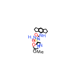 CO[C@H]1COc2c(S(N)(=O)=NC(=O)Nc3c4c(cc5c3CCC5)CCC4)cnn2C1